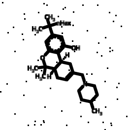 CCCCCCC(C)(C)c1cc(O)c2c(c1)OC(C)(C)[C@H]1CC=C(CN3CCC(C)CC3)C[C@H]21